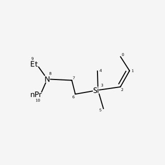 C/C=C\[Si](C)(C)CCN(CC)CCC